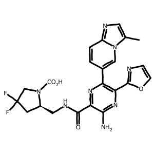 Cc1cnc2ccc(-c3nc(C(=O)NC[C@H]4CC(F)(F)CN4C(=O)O)c(N)nc3-c3ncco3)cn12